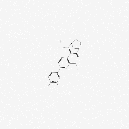 CCc1cc(-c2ccc(Cl)c(F)c2)ccc1C1=C(O)[C@@]2(C)CC[C@H](O2)C1=O